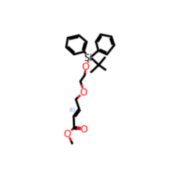 COC(=O)/C=C/COCCO[Si](c1ccccc1)(c1ccccc1)C(C)(C)C